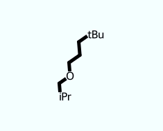 CC(C)COCCCC(C)(C)C